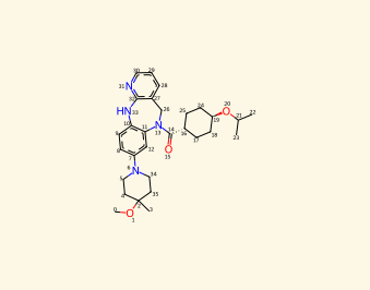 COC1(C)CCN(c2ccc3c(c2)N(C(=O)[C@H]2CC[C@H](OC(C)C)CC2)Cc2cccnc2N3)CC1